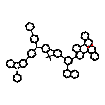 CC1(C)c2cc(-c3cc(-c4cccc5ccccc45)cc(-c4ccc(-c5cccc6ccccc56)c5c(-c6cccc7ccccc67)cccc45)c3)ccc2-c2ccc(N(c3ccc(-c4ccccc4)cc3)c3ccc(-c4ccc5c(c4)c4ccccc4n5-c4ccccc4)cc3)cc21